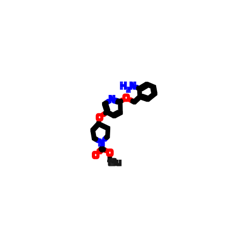 CC(C)(C)OC(=O)N1CCC(Oc2ccc(OCc3ccccc3N)nc2)CC1